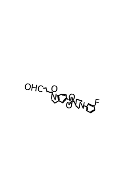 O=CCCC(=O)N1CCc2cc(S(=O)(=O)N3CCN(c4cccc(F)c4)CC3)ccc21